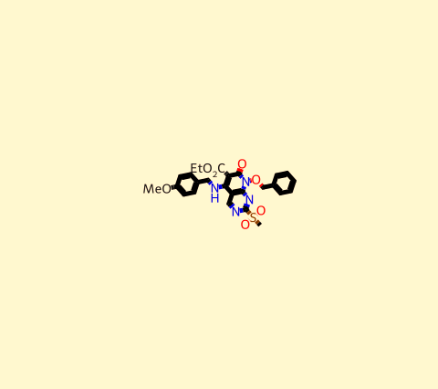 CCOC(=O)c1c(NCc2ccc(OC)cc2)c2cnc(S(C)(=O)=O)nc2n(OCc2ccccc2)c1=O